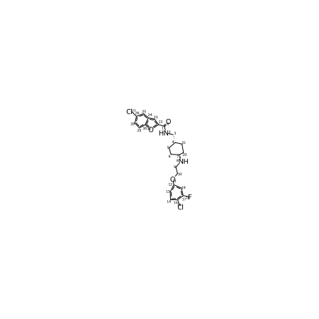 O=C(NC[C@H]1CC[C@H](NCCOc2ccc(Cl)c(F)c2)CC1)c1cc2cc(Cl)ccc2o1